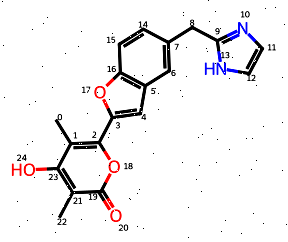 Cc1c(-c2cc3cc(Cc4ncc[nH]4)ccc3o2)oc(=O)c(C)c1O